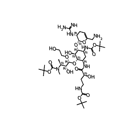 C[C@@H]([C@@H](O)[C@H](OCCO)O[C@@H]1[C@@H](O)[C@H](O[C@H]2OC(CN)=CC[C@H]2NC(=N)N)[C@@H](NC(=O)OC(C)(C)C)C[C@H]1NC(=O)[C@@H](O)CCNC(=O)OC(C)(C)C)N(C)C(=O)OC(C)(C)C